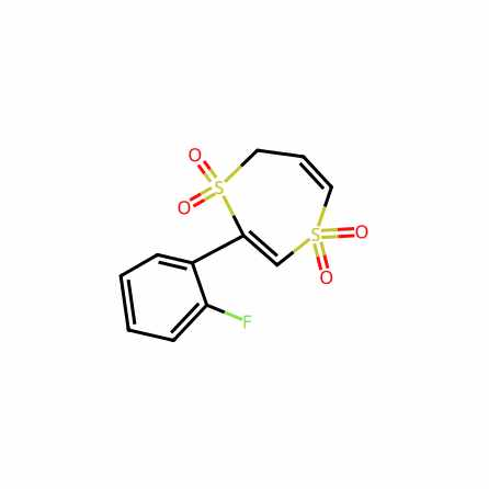 O=S1(=O)C=CCS(=O)(=O)C(c2ccccc2F)=C1